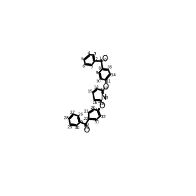 O=C(c1ccccc1)c1ccc(Oc2cccc(Oc3ccc(C(=O)c4ccccc4)cc3)n2)cc1